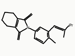 C=c1c2c(c(=C)n1-c1ccc(C)c(/C=C(\C)C(C)C)c1)CCCC2